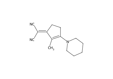 CC1=C(N2CCCCC2)CCC1=C(C#N)C#N